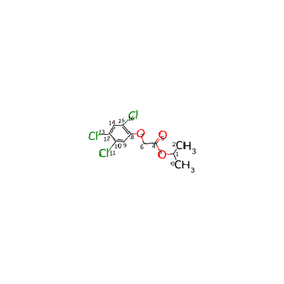 CC(C)OC(=O)COc1cc(Cl)c(Cl)cc1Cl